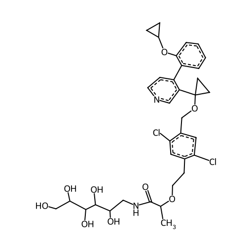 CC(OCCc1cc(Cl)c(COC2(c3cnccc3-c3ccccc3OC3CC3)CC2)cc1Cl)C(=O)NCC(O)C(O)C(O)C(O)CO